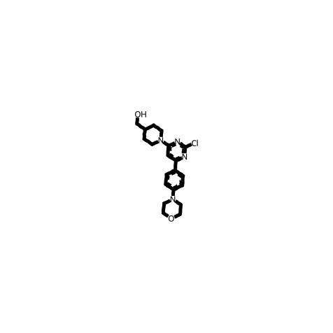 OCC1CCN(c2cc(-c3ccc(N4CCOCC4)cc3)nc(Cl)n2)CC1